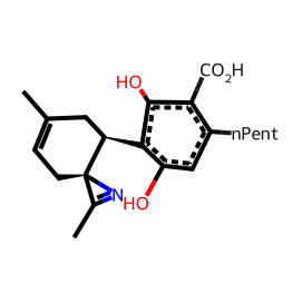 CCCCCc1cc(O)c([C@@H]2CC(C)=CC[C@]23N=C3C)c(O)c1C(=O)O